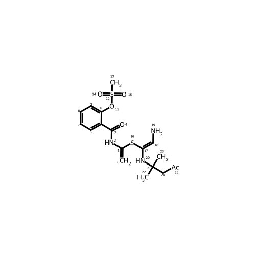 C=C(NC(=O)c1ccccc1OS(C)(=O)=O)S/C(=C\N)NC(C)(C)CC(C)=O